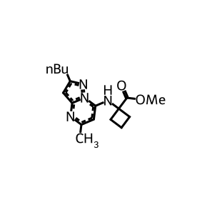 CCCCc1cc2nc(C)cc(NC3(C(=O)OC)CCC3)n2n1